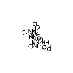 NC(=O)[C@H](Cc1ccc(Cl)cc1)NC(=O)[C@H](Cc1c[nH]c2ccccc12)NC(=O)[C@@H](Cc1ccc2ccccc2c1)NC(=O)[C@@H](N)CC1CCCCC1